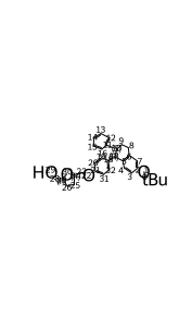 CC(C)(C)Oc1ccc2c(c1)CC[C@H](c1ccccc1)[C@@H]2c1ccc(OC[C@H]2CC[C@H](CO)O2)cc1